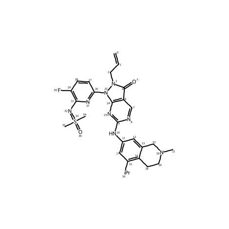 C=CCn1c(=O)c2cnc(Nc3cc4c(c(C(C)C)c3)CCN(C)C4)nc2n1-c1ccc(F)c(N=S(C)(C)=O)n1